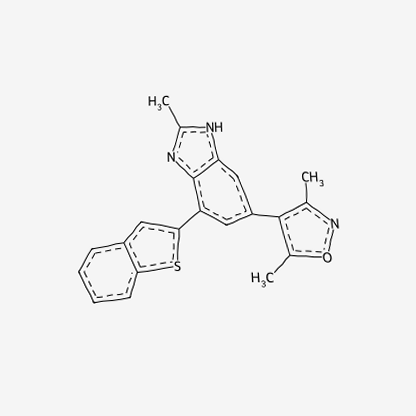 Cc1nc2c(-c3cc4ccccc4s3)cc(-c3c(C)noc3C)cc2[nH]1